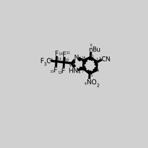 CCCCc1c(C#N)cc([N+](=O)[O-])c2[nH]c(C(F)(F)C(F)(F)C(F)(F)F)nc12